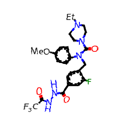 CCN1CCN(C(=O)N(Cc2ccc(C(=O)NNC(=O)C(F)(F)F)cc2F)c2ccc(OC)cc2)CC1